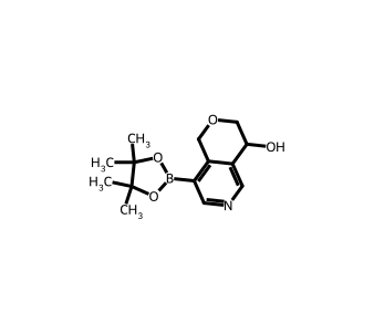 CC1(C)OB(c2cncc3c2COCC3O)OC1(C)C